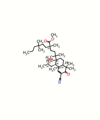 CCCC(C)(C)CC[C@@](C)(CCC(C)(C)[C@]1(C)CC[C@H]2C(C)(C)C(=O)C(C#N)=C[C@]2(C)[C@H]1C[C@@H](C)O)C(=O)OC